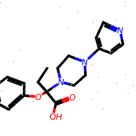 CCC(Oc1ccccc1)(C(=O)O)N1CCN(c2ccncc2)CC1